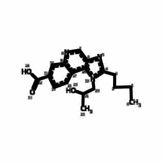 CCCCc1nc2cnc3cc(C(=O)O)ccc3c2n1CC(C)O